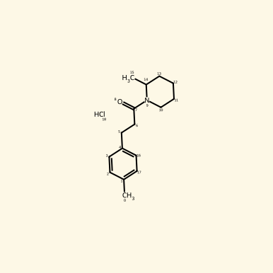 Cc1ccc(CCC(=O)N2CCCCC2C)cc1.Cl